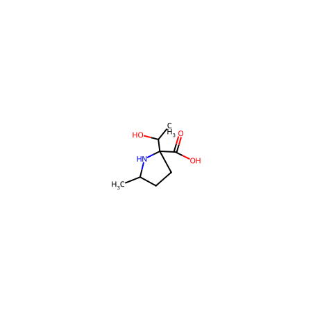 CC1CCC(C(=O)O)(C(C)O)N1